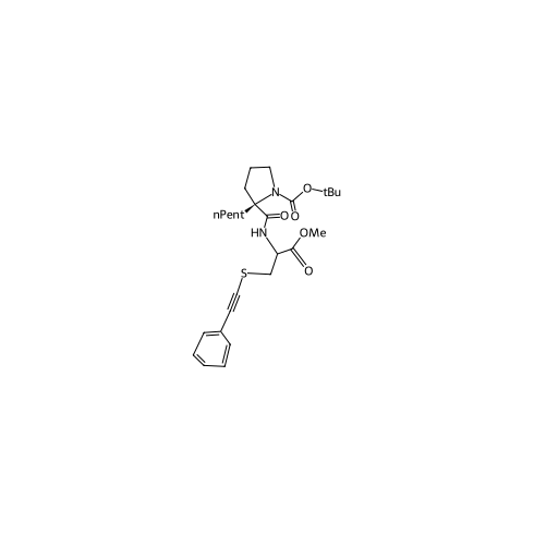 CCCCC[C@@]1(C(=O)NC(CSC#Cc2ccccc2)C(=O)OC)CCCN1C(=O)OC(C)(C)C